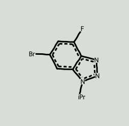 CC(C)n1nnc2c(F)cc(Br)cc21